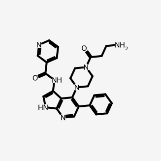 NCCC(=O)N1CCN(c2c(-c3ccccc3)cnc3[nH]cc(NC(=O)c4cccnc4)c23)CC1